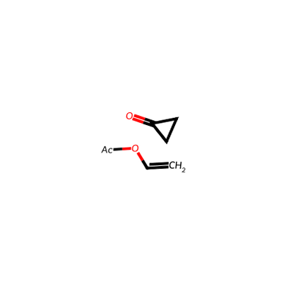 C=COC(C)=O.O=C1CC1